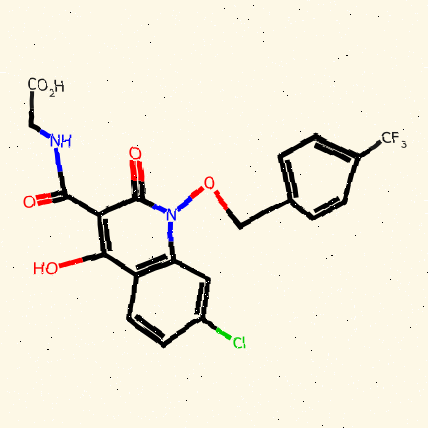 O=C(O)CNC(=O)c1c(O)c2ccc(Cl)cc2n(OCc2ccc(C(F)(F)F)cc2)c1=O